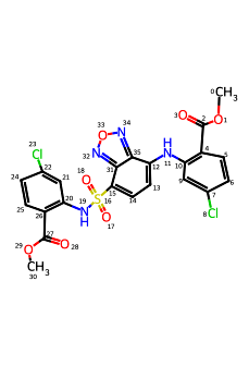 COC(=O)c1ccc(Cl)cc1Nc1ccc(S(=O)(=O)Nc2cc(Cl)ccc2C(=O)OC)c2nonc12